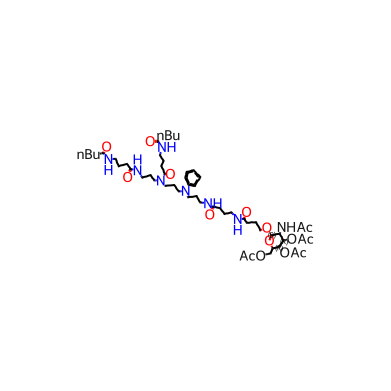 CCCCC(=O)NCCCC(=O)NCCCN(CCCN(CCCNC(=O)CCCNC(=O)CCCO[C@@H]1OC(COC(C)=O)[C@H](OC(C)=O)[C@H](OC(C)=O)C1NC(C)=O)c1ccccc1)C(=O)CCCNC(=O)CCCC